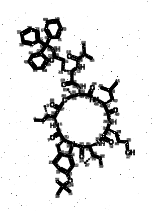 CC[C@H](C)[C@@H]1NC(=O)[C@H](Cc2ccc(OC(C)(C)C)cc2)N(C)C(=O)[C@H]([C@@H](C)CC)NC(=O)[C@H](CCCO)NC(=O)[C@H](CC(C)C)NC(=O)[C@@H](NC(=O)[C@H](CCC(=O)NC(c2ccccc2)(c2ccccc2)c2ccccc2)NC(=O)C(C)C)[C@@H](C)OC1=O